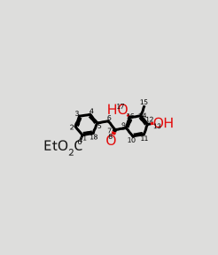 CCOC(=O)c1cccc(CC(=O)c2ccc(O)c(C)c2O)c1